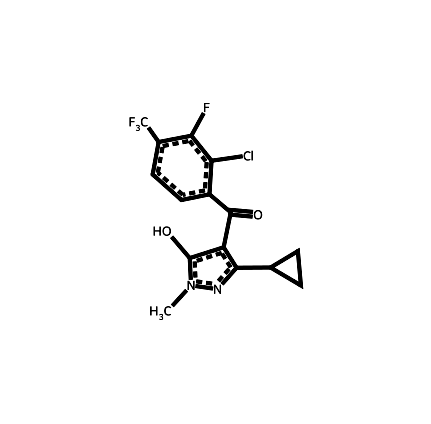 Cn1nc(C2CC2)c(C(=O)c2ccc(C(F)(F)F)c(F)c2Cl)c1O